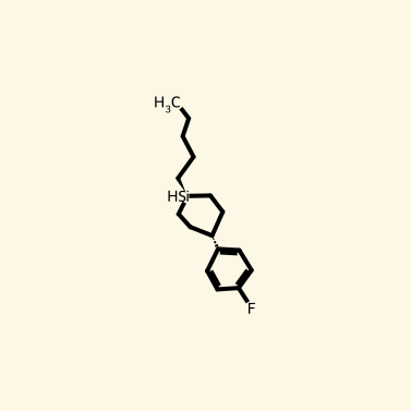 CCCCC[Si@H]1CC[C@H](c2ccc(F)cc2)CC1